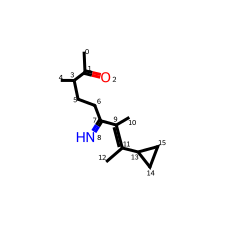 CC(=O)C(C)CCC(=N)/C(C)=C(\C)C1CC1